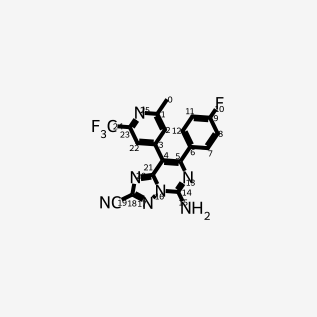 Cc1cc(-c2c(-c3ccc(F)cc3)nc(N)n3nc(C#N)nc23)cc(C(F)(F)F)n1